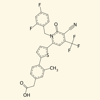 Cc1cc(CC(=O)O)ccc1-c1ccc(-c2cc(C(F)(F)F)c(C#N)c(=O)n2Cc2ccc(F)cc2F)s1